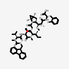 CC[C@H](C)[C@@H]([C@@H](CC(=O)N1[C@H]2C[C@H]2C[C@H]1[C@H](OC)[C@@H](C)C(=O)N[C@@H](Cc1ccccc1F)C(=O)O)OC)N(C)C(=O)[C@@H](NC(=O)[C@H](C(C)C)N(C)C(=O)OCC1c2ccccc2-c2ccccc21)C(C)C